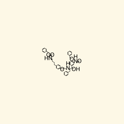 O=CNc1cc([C@@H](O)C(Cc2ccccc2)NCCOc2ccc(CCCCNC(=O)OCc3ccccc3)cc2)ccc1OCc1ccccc1